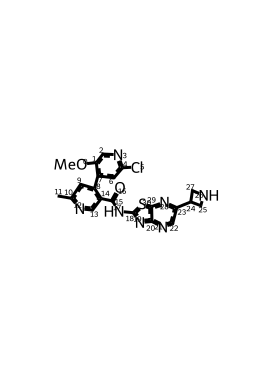 COc1cnc(Cl)cc1-c1cc(C)ncc1C(=O)Nc1nc2ncc(C3CNC3)nc2s1